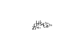 [La+3].[Li+].[O-2].[Sc+3].[Zr+4]